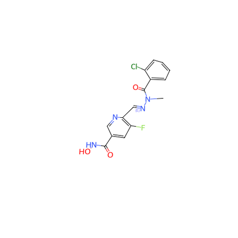 CN(/N=C/c1ncc(C(=O)NO)cc1F)C(=O)c1ccccc1Cl